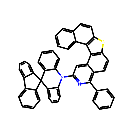 c1ccc(-c2nc(N3c4ccccc4C4(c5ccccc5-c5ccccc54)c4ccccc43)cc3c2ccc2sc4ccc5ccccc5c4c23)cc1